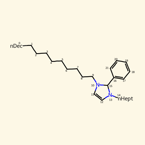 CCCCCCCCCCCCCCCCCCCN1C=CN(CCCCCCC)C1c1ccccc1